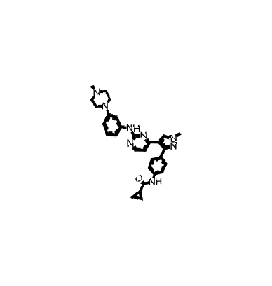 CN1CCN(c2cccc(Nc3nccc(-c4cn(C)nc4-c4ccc(NC(=O)C5CC5)cc4)n3)c2)CC1